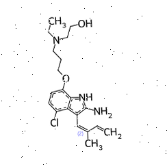 C=C/C(C)=C\c1c(N)[nH]c2c(OCCCN(CC)CCO)ccc(Cl)c12